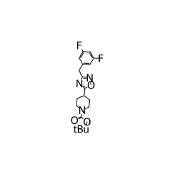 CC(C)(C)OC(=O)N1CCC(c2nc(Cc3cc(F)cc(F)c3)no2)CC1